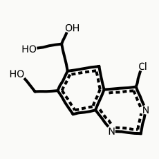 OCc1cc2ncnc(Cl)c2cc1C(O)O